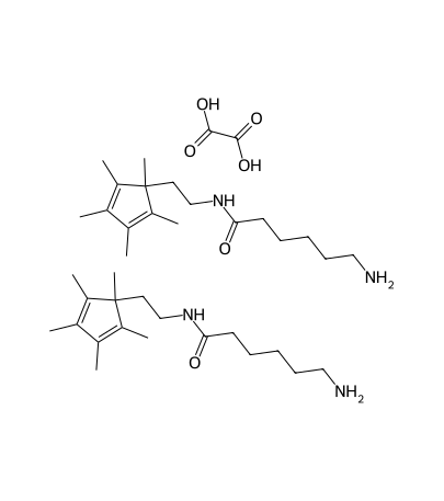 CC1=C(C)C(C)(CCNC(=O)CCCCCN)C(C)=C1C.CC1=C(C)C(C)(CCNC(=O)CCCCCN)C(C)=C1C.O=C(O)C(=O)O